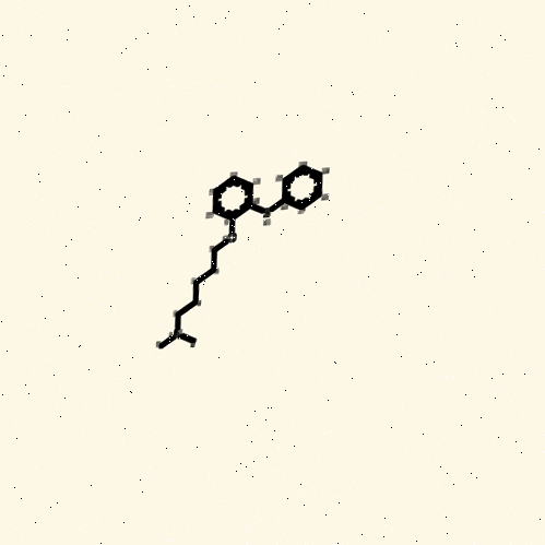 CN(C)CCCCCOc1ccccc1Sc1ccccc1